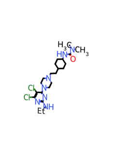 CCNc1nc(Cl)c(Cl)c(N2CCN(CCC3CCC(NC(=O)N(C)C)CC3)CC2)n1